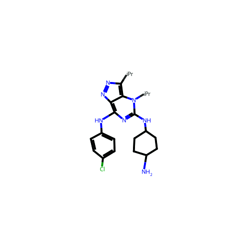 CC(C)c1nnc2c(Nc3ccc(Cl)cc3)nc(NC3CCC(N)CC3)n(C(C)C)c1-2